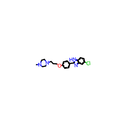 CN1CCN(CCCOc2ccc(-c3nc4cc(Cl)ccc4[nH]3)cc2)CC1